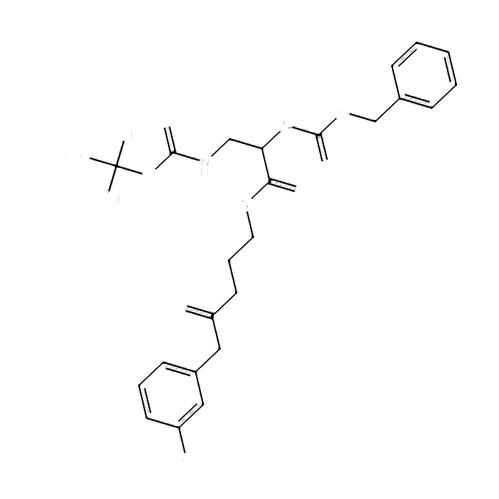 CC(C)(C)OC(=O)NCC(NC(=O)OCc1ccccc1)C(=O)NCCCC(=O)Cc1cccc(O)c1